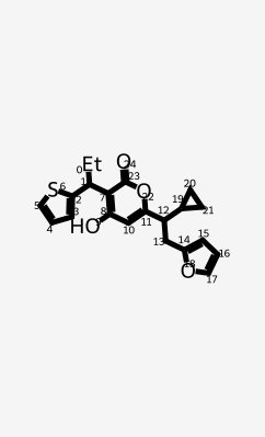 CCC(c1cccs1)c1c(O)cc(C(Cc2ccco2)C2CC2)oc1=O